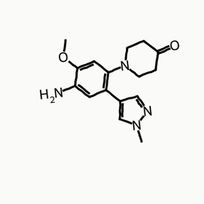 COc1cc(N2CCC(=O)CC2)c(-c2cnn(C)c2)cc1N